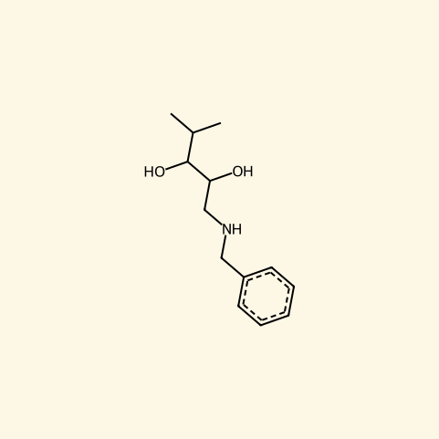 CC(C)C(O)C(O)CNCc1ccccc1